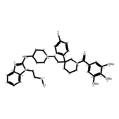 CCOCCn1c(NC2CCN(CCC3(c4ccc(F)cc4)CCCN(C(=O)c4cc(OC)c(OC)c(OC)c4)C3)CC2)nc2ccccc21